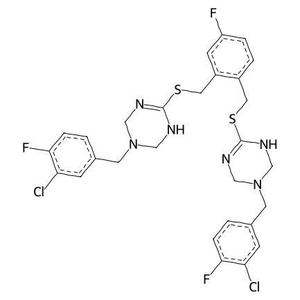 Fc1ccc(CSC2=NCN(Cc3ccc(F)c(Cl)c3)CN2)c(CSC2=NCN(Cc3ccc(F)c(Cl)c3)CN2)c1